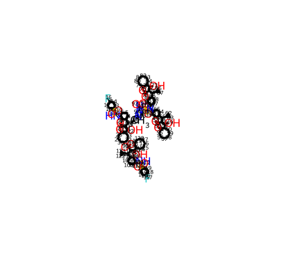 CC[C@H](c1cccc(NS(=O)(=O)c2ccc(F)cc2)c1)c1c(O)c2c(oc1=O)CCCCCC2.CN1C=C(S(=O)(=O)N(c2ccc(C(c3c(O)c4c(oc3=O)CCCCCC4)C3CC3)cc2)c2ccc(C(c3c(O)c4c(oc3=O)CCCCCC4)C3CC3)cc2)N([N+](=O)[O-])C1.O=c1oc2c(c(O)c1C(c1cccc(NS(=O)(=O)c3ccc(F)cc3)c1)C1CC1)CCCCCC2